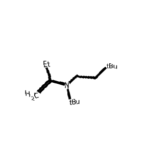 C=C(CC)N(CCC(C)(C)C)C(C)(C)C